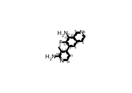 Cc1c(-c2cc3ccncc3c(N)c2F)ccnc1N